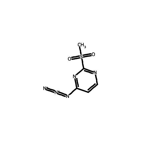 CS(=O)(=O)c1nccc(N=[N+]=[N-])n1